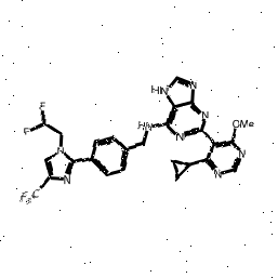 COc1ncnc(C2CC2)c1-c1nc(NCc2ccc(-c3nc(C(F)(F)F)cn3CC(F)F)cc2)c2[nH]cnc2n1